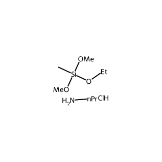 CCCN.CCO[Si](C)(OC)OC.Cl